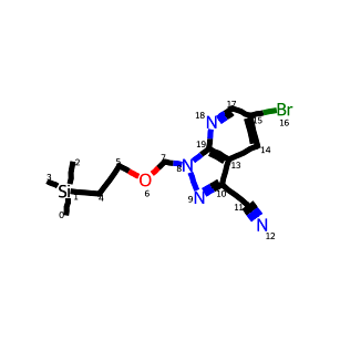 C[Si](C)(C)CCOCn1nc(C#N)c2cc(Br)cnc21